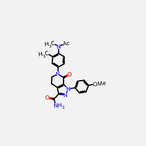 COc1ccc(-n2nc(C(N)=O)c3c2C(=O)N(c2ccc(N(C)C(C)=O)c(C)c2)CC3)cc1